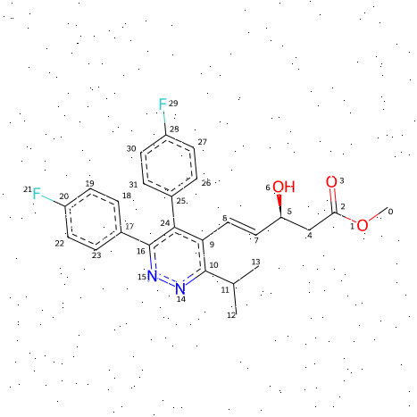 COC(=O)C[C@H](O)/C=C/c1c(C(C)C)nnc(-c2ccc(F)cc2)c1-c1ccc(F)cc1